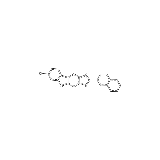 Clc1ccc2c(c1)oc1cc3nc(-c4ccc5ccccc5c4)sc3cc12